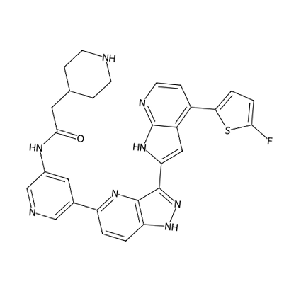 O=C(CC1CCNCC1)Nc1cncc(-c2ccc3[nH]nc(-c4cc5c(-c6ccc(F)s6)ccnc5[nH]4)c3n2)c1